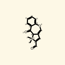 C[N+]1(C)C(C=O)=CC2=COc3ccccc3C(=O)C21